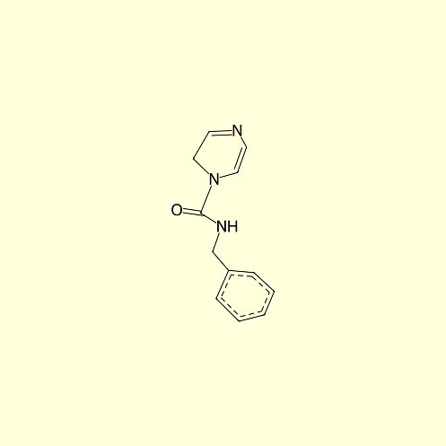 O=C(NCc1ccccc1)N1C=CN=CC1